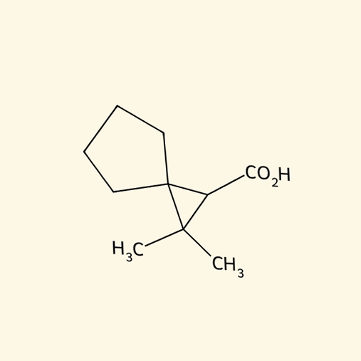 CC1(C)C(C(=O)O)C12CCCC2